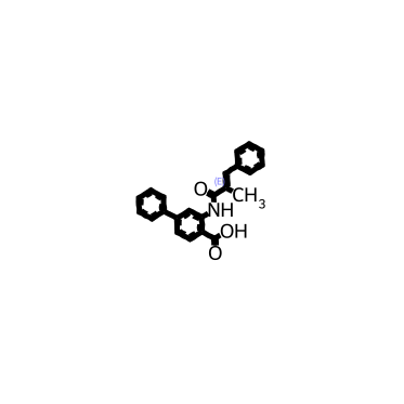 C/C(=C\c1ccccc1)C(=O)Nc1cc(-c2ccccc2)ccc1C(=O)O